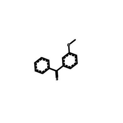 COc1cccc(C(=S)c2ccccc2)c1